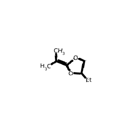 CCC1COC(=C(C)C)O1